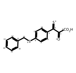 O=C(O)C(=O)C(=S)c1ccc(SCc2ccccc2)cc1